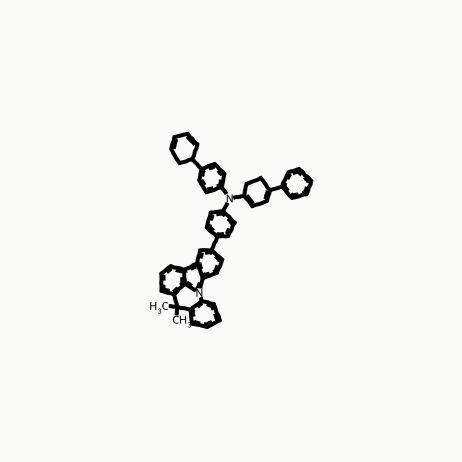 CC1(C)c2ccccc2-n2c3ccc(-c4ccc(N(C5=CC=C(c6ccccc6)CC5)c5ccc(C6C=CC=CC6)cc5)cc4)cc3c3cccc1c32